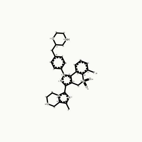 Cc1nc(-c2nn(-c3ccc(CC4CNCCO4)cc3)c3c2CS(=O)(=O)c2c(F)cccc2-3)n2c1COCC2